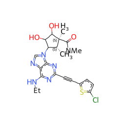 CCNc1nc(C#Cc2ccc(Cl)s2)nc2c1ncn2C1C(O)C(O)[C@@](C)(C(=O)NC)[C@@H]1C